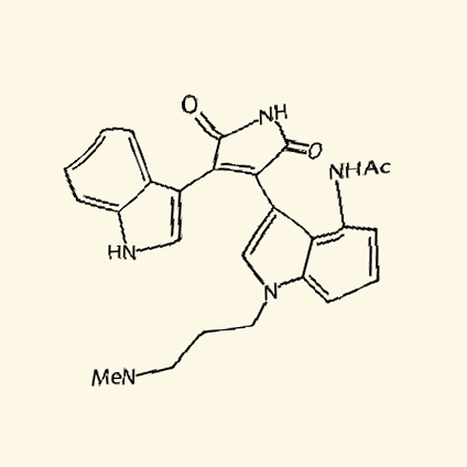 CNCCCn1cc(C2=C(c3c[nH]c4ccccc34)C(=O)NC2=O)c2c(NC(C)=O)cccc21